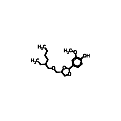 CCCCC(CC)COC[C@@H]1COC(c2ccc(O)c(OC)c2)O1